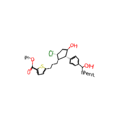 CCCCCC(O)c1ccc([C@@H]2[C@@H](CCCc3ccc(C(=O)OC(C)C)s3)[C@H](Cl)C[C@H]2O)cc1